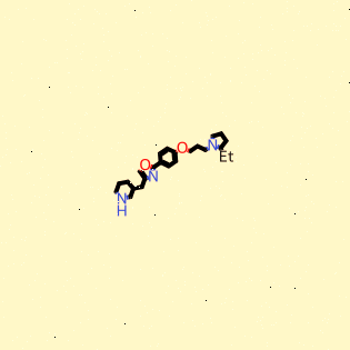 CCC1CCCN1CCCOc1ccc(-c2nc(CC3CCCNC3)co2)cc1